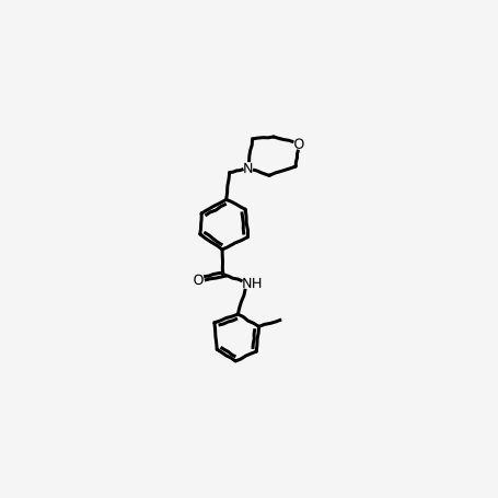 Cc1ccccc1NC(=O)c1ccc(CN2CCOCC2)cc1